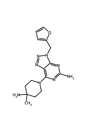 CC1(N)CCN(c2nc(N)nc3c2nnn3Cc2ccco2)CC1